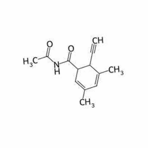 C#CC1C(C)=CC(C)=CC1C(=O)NC(C)=O